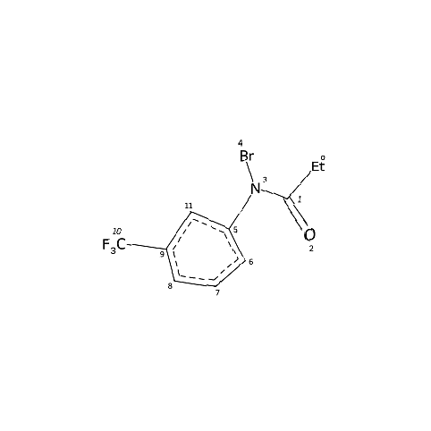 CCC(=O)N(Br)c1cccc(C(F)(F)F)c1